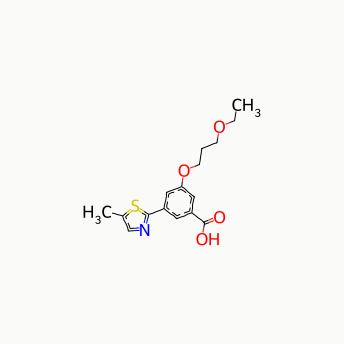 CCOCCCOc1cc(C(=O)O)cc(-c2ncc(C)s2)c1